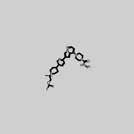 CC(C)NC(=O)N1CCN(c2ccnn3cc(C4=NCC(C5CCN([C@H](C)COC(F)F)CC5)C=C4)cc23)CC1